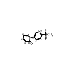 CC(F)(F)c1ccc(-n2ccccc2=O)cn1